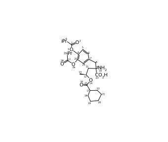 CC(C)C(=O)Oc1ccc(CC(N)(C[C@H](C)OC(=O)C2CCCCC2)C(=O)O)cc1OC(=O)C(C)C